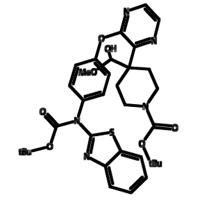 COC(O)C1(c2nccnc2Oc2ccc(N(C(=O)OC(C)(C)C)c3nc4ccccc4s3)cc2)CCN(C(=O)OC(C)(C)C)CC1